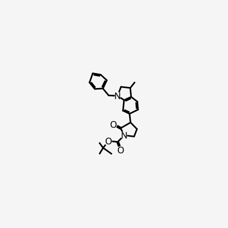 CC1CN(Cc2ccccc2)c2cc(C3CCN(C(=O)OC(C)(C)C)C3=O)ccc21